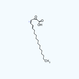 CCCCCCCCCCCCCC=C/C=C\C1=C(C(=O)O)O1